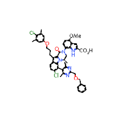 COc1ccc(N2C[C@@H](C)n3c(c(CCCOc4cc(C)c(Cl)c(C)c4)c4ccc(Cl)c(-c5c(C)nc(COCc6ccccc6)nc5C)c43)C2=O)c2[nH]c(C(=O)O)cc12